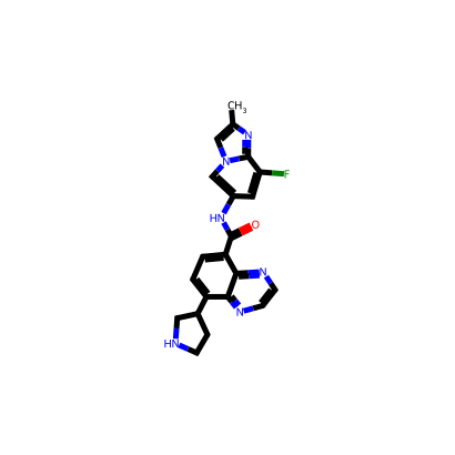 Cc1cn2cc(NC(=O)c3ccc(C4CCNC4)c4nccnc34)cc(F)c2n1